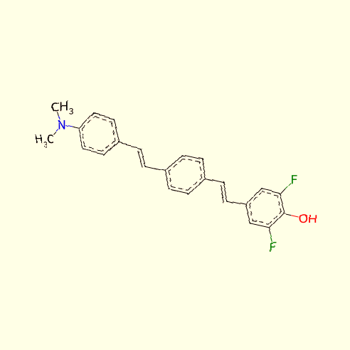 CN(C)c1ccc(/C=C/c2ccc(/C=C/c3cc(F)c(O)c(F)c3)cc2)cc1